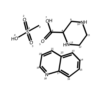 CS(=O)(=O)O.O=C(O)C1CNCCN1.c1ccc2ncccc2c1